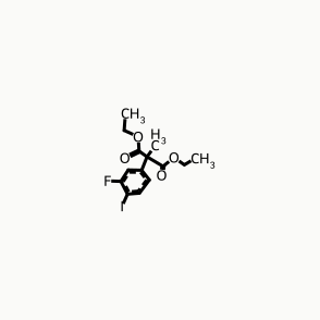 CCOC(=O)C(C)(C(=O)OCC)c1ccc(I)c(F)c1